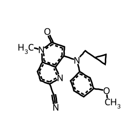 COc1cccc(N(CC2CC2)c2cc(=O)n(C)c3ccc(C#N)nc23)c1